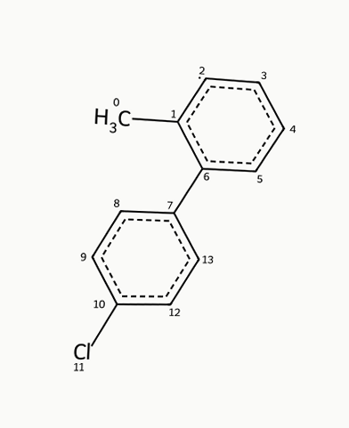 Cc1[c]cccc1-c1ccc(Cl)cc1